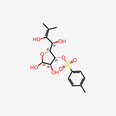 CC(C)=C(O)[C@@H](O)[C@H]1O[C@H](O)[C@H](O)[C@H]1OS(=O)(=O)c1ccc(C)cc1